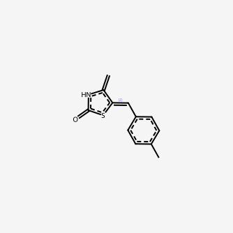 C=c1[nH]c(=O)s/c1=C\c1ccc(C)cc1